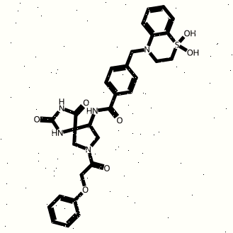 O=C1NC(=O)C2(CN(C(=O)COc3ccccc3)CC2NC(=O)c2ccc(CN3CCS(O)(O)c4ccccc43)cc2)N1